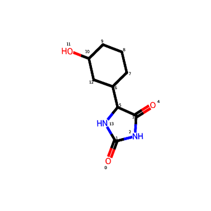 O=C1NC(=O)C(C2CCCC(O)C2)N1